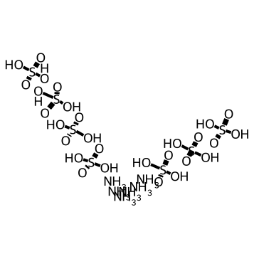 N.N.N.N.N.N.O=S(=O)(O)O.O=S(=O)(O)O.O=S(=O)(O)O.O=S(=O)(O)O.O=S(=O)(O)O.O=S(=O)(O)O.O=S(=O)(O)O